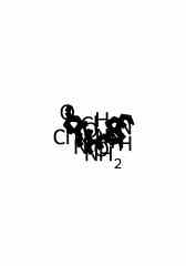 COc1cc(Cl)c(-n2cnc(N)c(C(=O)Nc3cncc4c3CCC43CCCN3)c2=O)c(Cl)c1